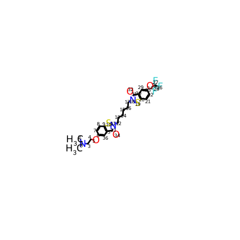 CN(C)CCOc1ccc2sn(CCCCCCn3sc4ccc(OC(F)(F)F)cc4c3=O)c(=O)c2c1